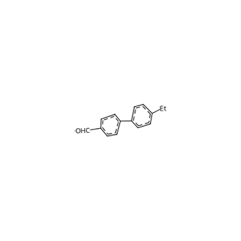 CCc1ccc(-c2ccc([C]=O)cc2)cc1